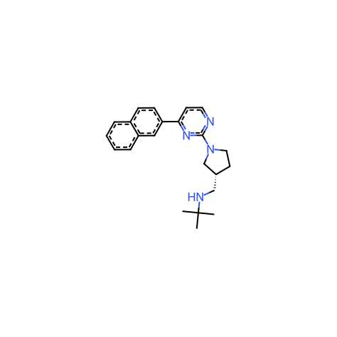 CC(C)(C)NC[C@H]1CCN(c2nccc(-c3ccc4ccccc4c3)n2)C1